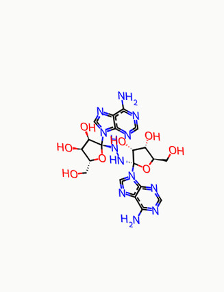 Nc1ncnc2c1ncn2[C@]1(NN[C@@]2(n3cnc4c(N)ncnc43)O[C@H](CO)[C@@H](O)[C@H]2O)O[C@H](CO)[C@@H](O)[C@H]1O